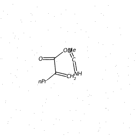 C=C(CCC)C(=O)OC.N=C=O